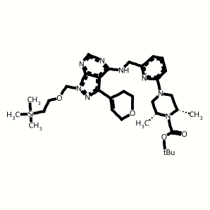 C[C@@H]1CN(c2cccc(CNc3ncnc4c3c(C3=CCOCC3)nn4COCC[Si](C)(C)C)n2)C[C@H](C)N1C(=O)OC(C)(C)C